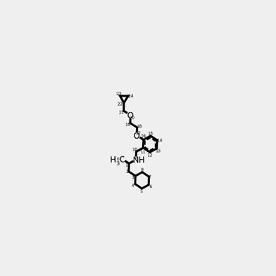 CC(CC1CCCCC1)NCc1ccccc1OCCOCC1CC1